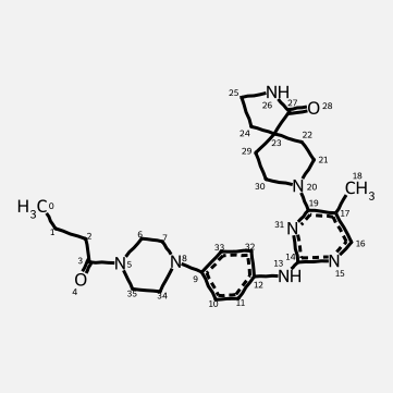 CCCC(=O)N1CCN(c2ccc(Nc3ncc(C)c(N4CCC5(CCNC5=O)CC4)n3)cc2)CC1